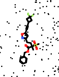 CC(CCc1cc(C#CC2CC(F)(F)C2)on1)(C(=O)OCc1ccccc1)S(C)(=O)=O